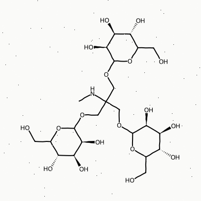 CNC(COC1OC(CO)[C@@H](O)[C@H](O)[C@@H]1O)(COC1OC(CO)[C@@H](O)[C@H](O)[C@@H]1O)COC1OC(CO)[C@@H](O)[C@H](O)[C@@H]1O